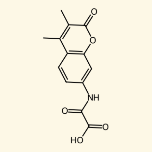 Cc1c(C)c2ccc(NC(=O)C(=O)O)cc2oc1=O